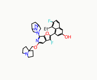 CCc1c(F)ccc2cc(O)cc(-c3oc4c(N5CC6CCC(C5)N6)nc(OCC56CCCN5CCC6)cc4c3F)c12